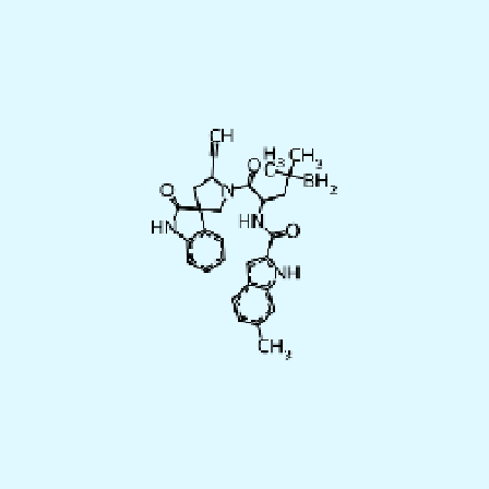 BC(C)(C)CC(NC(=O)c1cc2ccc(C)cc2[nH]1)C(=O)N1C[C@]2(CC1C#C)C(=O)Nc1ccccc12